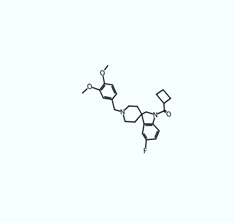 COc1ccc(CN2CCC3(CC2)CN(C(=O)C2CCC2)c2ccc(F)cc23)cc1OC